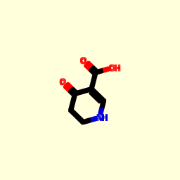 O=C(O)C1=CNCCC1=O